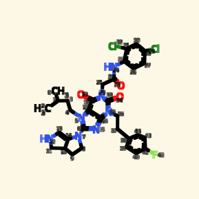 CC(C)CCn1c(N2CCC3CNC=C32)nc2c1c(=O)n(CC(=O)Nc1ccc(Cl)cc1Cl)c(=O)n2CCc1ccc(F)cc1